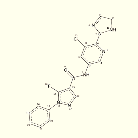 O=C(Nc1cnc(N2N=CCN2)c(Cl)c1)c1cnn(-c2ccccc2)c1F